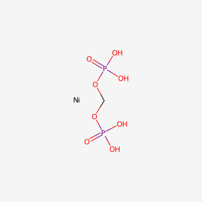 O=P(O)(O)OCOP(=O)(O)O.[Ni]